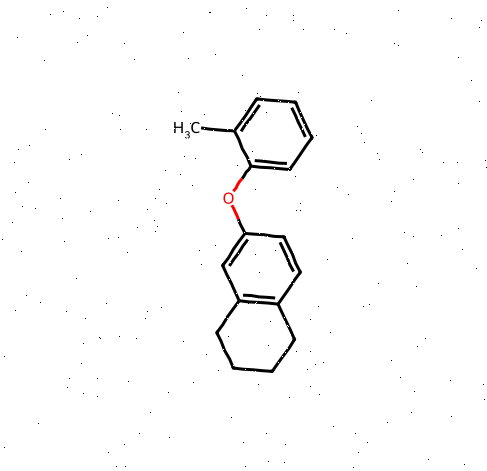 Cc1ccccc1Oc1ccc2c(c1)CCCC2